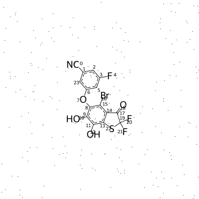 N#Cc1cc(F)cc(Oc2c(O)c(O)c3c(c2Br)C(=O)C(F)(F)S3)c1